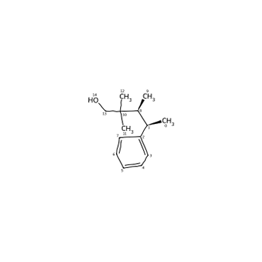 C[C@@H](c1ccccc1)[C@H](C)C(C)(C)CO